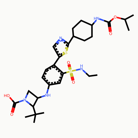 CCNS(=O)(=O)c1cc(NC2CN(C(=O)O)C2C(C)(C)C)ccc1-c1cnc(C2CCC(NC(=O)OC(C)C)CC2)s1